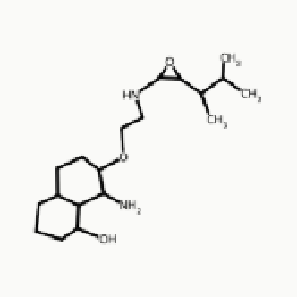 CC(C)C(C)C1OC1NCCOC1CCC2CCCC(O)C2C1N